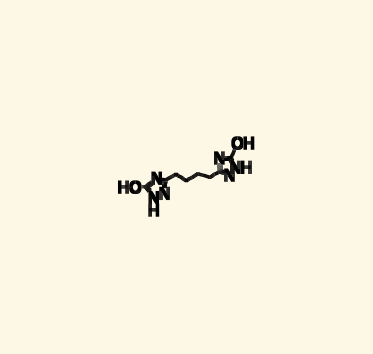 Oc1nc(CCCCc2n[nH]c(O)n2)n[nH]1